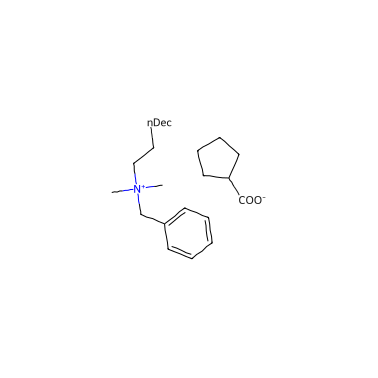 CCCCCCCCCCCC[N+](C)(C)Cc1ccccc1.O=C([O-])C1CCCC1